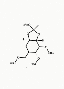 CCCCOCC1O[C@H]2OC(C)(OC)O[C@@H]2C(OCCCC)[C@@H]1OCCCC